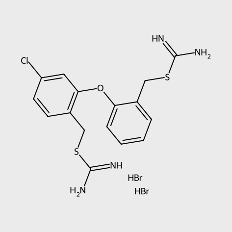 Br.Br.N=C(N)SCc1ccccc1Oc1cc(Cl)ccc1CSC(=N)N